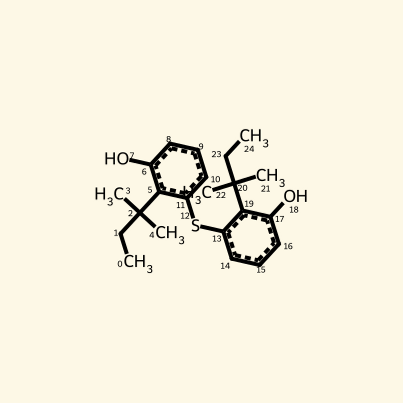 CCC(C)(C)c1c(O)cccc1Sc1cccc(O)c1C(C)(C)CC